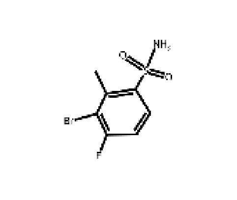 Cc1c(S(N)(=O)=O)ccc(F)c1Br